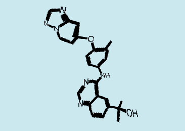 Cc1cc(Nc2ncnc3ccc(C(C)(C)O)cc23)ccc1Oc1ccn2ncnc2c1